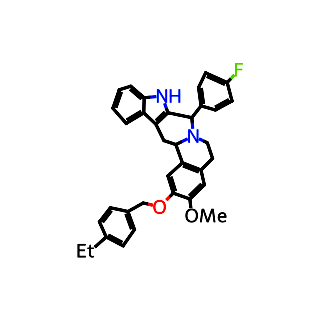 CCc1ccc(COc2cc3c(cc2OC)CCN2C3Cc3c([nH]c4ccccc34)C2c2ccc(F)cc2)cc1